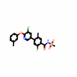 Cc1cccc(Oc2ncc(-c3cc(F)c(C(=O)NS(C)(=O)=O)cc3C)cc2Cl)c1